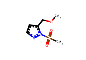 COCc1ccnn1S(C)(=O)=O